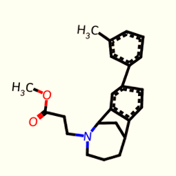 COC(=O)CCN1CCCC2CC1c1cc(-c3cccc(C)c3)ccc12